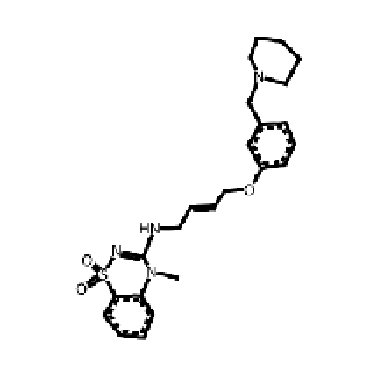 CN1C(NCC=CCOc2cccc(CN3CCCCC3)c2)=NS(=O)(=O)c2ccccc21